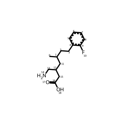 CC(CCc1ccccc1F)CC(CN)CC(=O)O